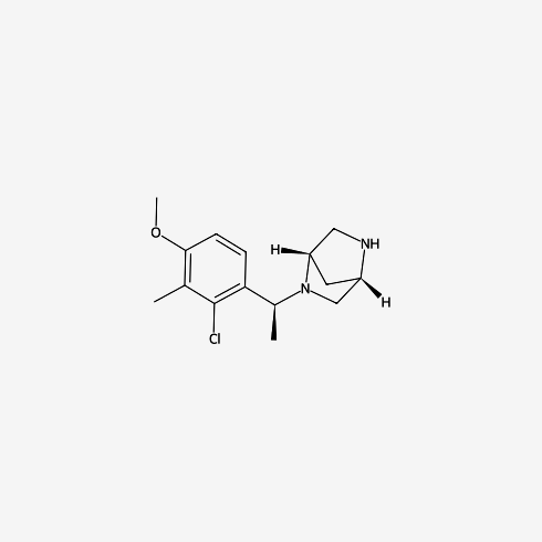 COc1ccc([C@H](C)N2C[C@@H]3C[C@H]2CN3)c(Cl)c1C